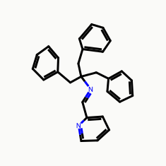 C(=N\C(Cc1ccccc1)(Cc1ccccc1)Cc1ccccc1)/c1ccccn1